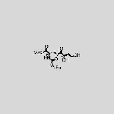 COC(=O)[C@H](CNC(=O)[C@@H](O)CCO)NC(=O)OC(C)(C)C